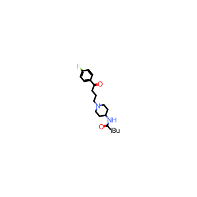 CCC(C)C(=O)NC1CCN(CCCC(=O)c2ccc(F)cc2)CC1